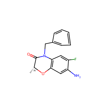 C[C@H]1Oc2cc(N)c(F)cc2N(Cc2ccccc2)C1=O